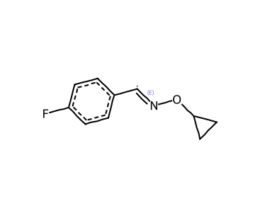 Fc1ccc(/[C]=N/OC2CC2)cc1